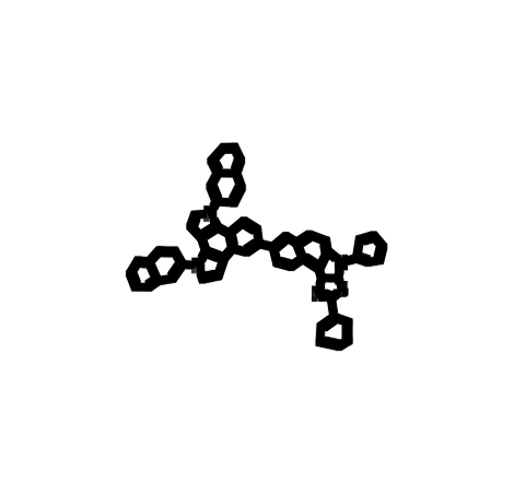 c1ccc(C2=NC3c4c(ccc5cc(-c6ccc7c(c6)c6ccn(-c8ccc9ccccc9c8)c6c6ccn(-c8ccc9ccccc9c8)c76)ccc45)N(c4ccccc4)C3S2)cc1